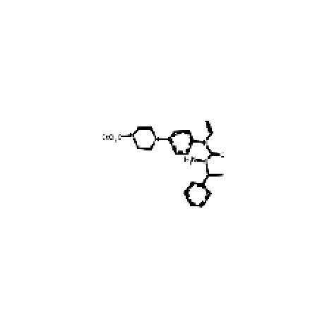 C=CN(C(=O)N(N)C(C)c1ccccc1)c1ccc(N2CCN(C(=O)OCC)CC2)cc1